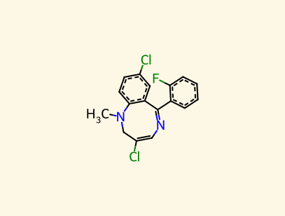 CN1CC(Cl)=CN=C(c2ccccc2F)c2cc(Cl)ccc21